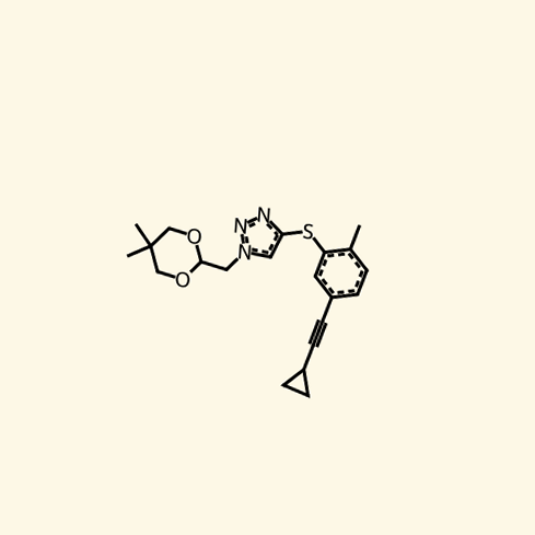 Cc1ccc(C#CC2CC2)cc1Sc1cn(CC2OCC(C)(C)CO2)nn1